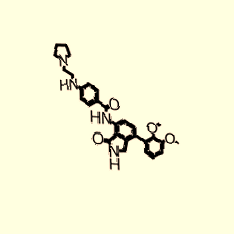 COc1cccc(-c2ccc(NC(=O)c3ccc(NCCN4CCCC4)cc3)c3c2CNC3=O)c1OC